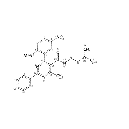 CSc1ccc([N+](=O)[O-])cc1-c1nc(-c2ccccc2)nc(C)c1C(=O)NCCN(C)C